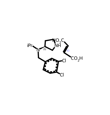 CC(C)N(Cc1ccc(Cl)c(Cl)c1)[C@H]1CCNC1.O=C(O)/C=C/C(=O)O